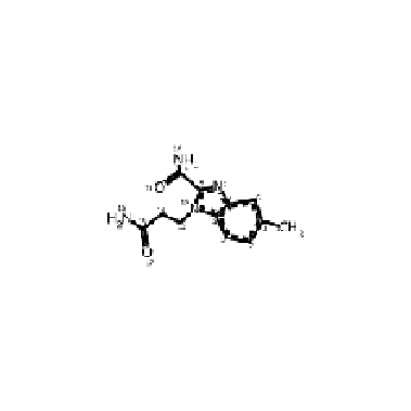 Cc1ccc2c(c1)nc(C(N)=O)n2CCC(N)=O